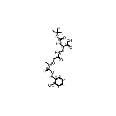 CN(OCC(=O)NCC(NC(=O)OC(C)(C)C)C(=O)O)C(=O)OCc1ccccc1Cl